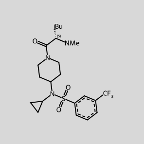 CCC(C)[C@H](NC)C(=O)N1CCC(N(C2CC2)S(=O)(=O)c2cccc(C(F)(F)F)c2)CC1